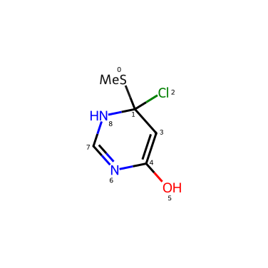 CSC1(Cl)C=C(O)N=CN1